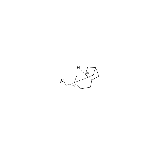 [CH2]C[C@]12CCC3CC(C[C@@H]3C1)C2